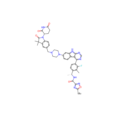 Cc1c([C@@H](C)NC(=O)c2noc(C(C)(C)C)n2)ccc(-c2ncnc3[nH]c4cc(N5CCN(Cc6ccc7c(c6)C(C)(C)C(=O)N7C6CCC(=O)NC6=O)CC5)ccc4c23)c1F